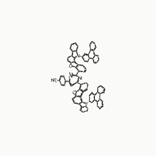 N#Cc1ccc(-c2cc(-c3cccc4c3oc3ccc5c6ccccc6n(-c6ccc7c8ccccc8c8ccccc8c7c6)c5c34)nc(-c3cccc4c3oc3ccc5c6ccccc6n(-c6ccc7c8ccccc8c8ccccc8c7c6)c5c34)n2)cc1